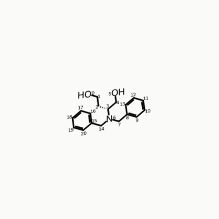 OCC[C@H](CO)N(Cc1ccccc1)Cc1ccccc1